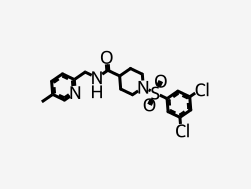 Cc1ccc(CNC(=O)C2CCN(S(=O)(=O)c3cc(Cl)cc(Cl)c3)CC2)nc1